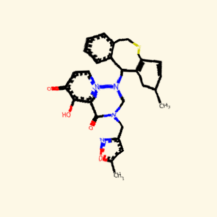 Cc1cc(CN2CN(C3C4=C(C=CC(C)C4)SCc4ccccc43)n3ccc(=O)c(O)c3C2=O)no1